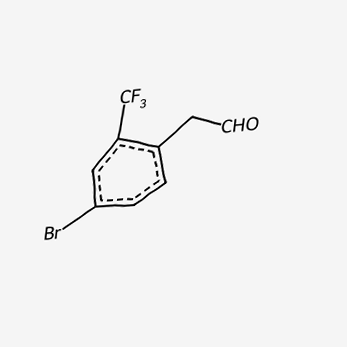 O=CCc1ccc(Br)cc1C(F)(F)F